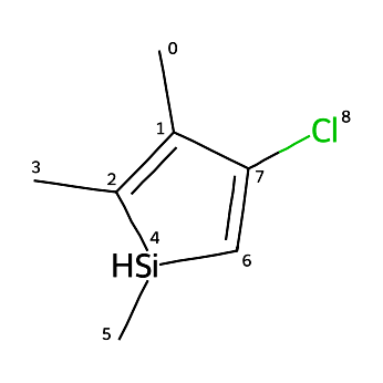 CC1=C(C)[SiH](C)C=C1Cl